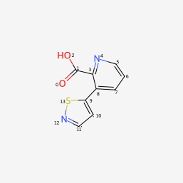 O=C(O)c1ncccc1-c1[c][c]ns1